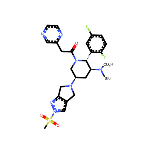 CC(C)(C)N(C(=O)O)[C@H]1C[C@@H](N2Cc3cn(S(C)(=O)=O)nc3C2)CN(C(=O)Cc2cnccn2)[C@@H]1c1cc(F)ccc1F